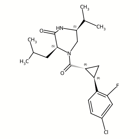 CC(C)C[C@H]1C(=O)N[C@@H](C(C)C)CN1C(=O)[C@@H]1C[C@H]1c1ccc(Cl)cc1F